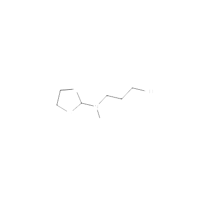 CCCCN(C)[C]1OCCO1